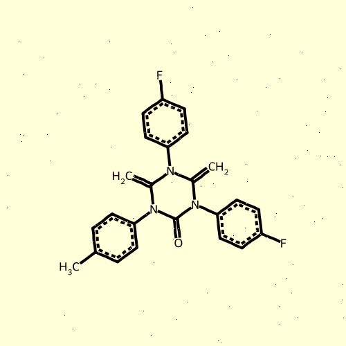 C=C1N(c2ccc(F)cc2)C(=C)N(c2ccc(F)cc2)C(=O)N1c1ccc(C)cc1